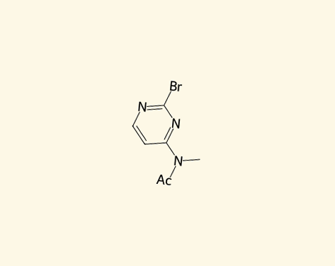 CC(=O)N(C)c1ccnc(Br)n1